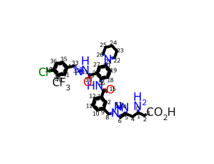 NC(CC(=O)O)Cc1cn(Cc2cccc(C(=O)Nc3ccc(N4CCCCC4)cc3C(=O)N/N=C/c3ccc(Cl)c(C(F)(F)F)c3)c2)nn1